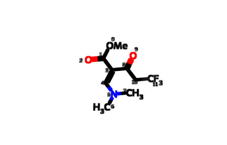 COC(=O)/C(=C/N(C)C)C(=O)CC(F)(F)F